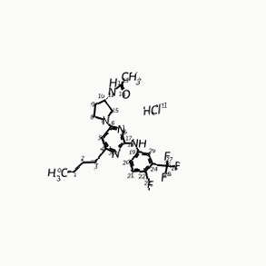 CCCCc1cc(N2CC[C@H](NC(C)=O)C2)nc(Nc2ccc(F)c(C(F)(F)F)c2)n1.Cl